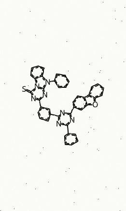 S=c1nc(-c2cccc(-c3nc(-c4ccccc4)nc(-c4ccc5c(c4)oc4ccccc45)n3)c2)nc2n(-c3ccccc3)c3ccccc3n12